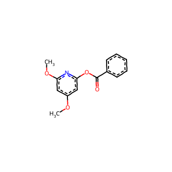 COc1cc(OC)nc(OC(=O)c2ccccc2)c1